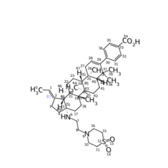 C/C=C1\CC[C@]2(NCCN3CCS(=O)(=O)CC3)CC[C@]3(C)[C@H](CC[C@@H]4[C@@]5(C)CC=C(c6ccc(C(=O)O)cc6)C(C)(C)[C@@H]5CC[C@]43C)[C@@H]12